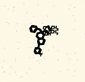 CC1(C)COC(C2(Cc3ccccc3)CCc3cc(-c4cccc(F)c4)ccc3C2O)=N1